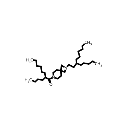 CCCCCCC(CCCCC)CCN1CC2(CCN(C(=O)C(CCCC)CCCCCC)CC2)C1